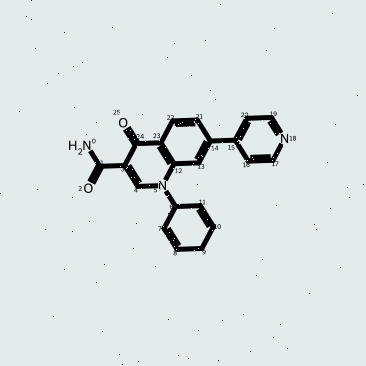 NC(=O)c1cn(C2C=CCC=C2)c2cc(-c3ccncc3)ccc2c1=O